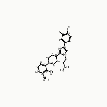 CCNCCn1cc(-c2ccc(F)c(C)c2)nc1C1CCN(c2ncnc(N)c2CC)CC1